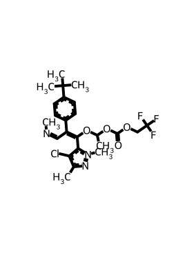 C/N=C\C(=C(\OC(C)OC(=O)OCC(F)(F)F)c1c(Cl)c(C)nn1C)c1ccc(C(C)(C)C)cc1